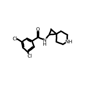 O=C(NC1CC12CCNCC2)c1cc(Cl)cc(Cl)c1